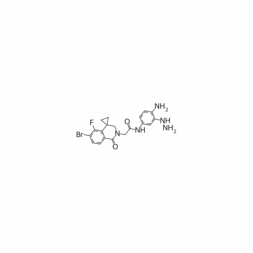 NNc1cc(NC(=O)CN2CC3(CC3)c3c(ccc(Br)c3F)C2=O)ccc1N